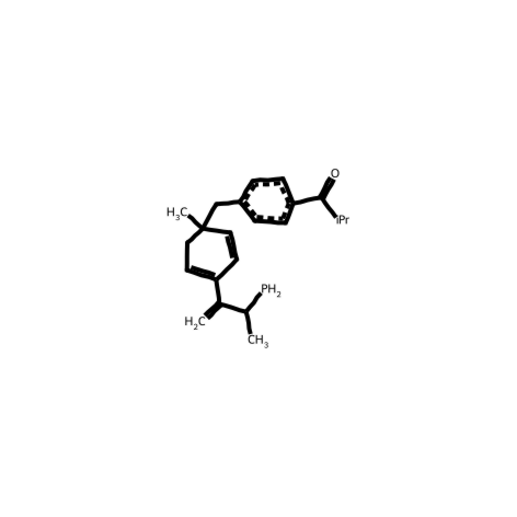 C=C(C1=CCC(C)(Cc2ccc(C(=O)C(C)C)cc2)C=C1)C(C)P